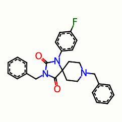 O=C1N(Cc2ccccc2)C(=O)C2(CCN(Cc3ccccc3)CC2)N1c1ccc(F)cc1